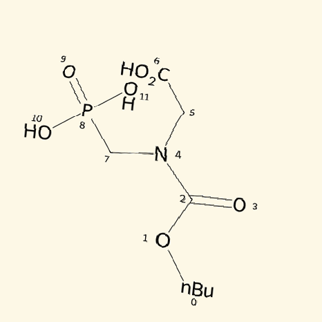 CCCCOC(=O)N(CC(=O)O)CP(=O)(O)O